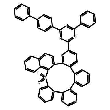 O=S1(=O)c2ccccc2-c2ccccc2-c2ccccc2-c2ccc(-c3nc(-c4ccccc4)nc(-c4ccc(-c5ccccc5)cc4)n3)cc2-c2ccc3ccccc3c21